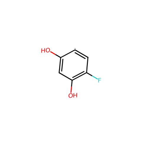 Oc1[c]cc(F)c(O)c1